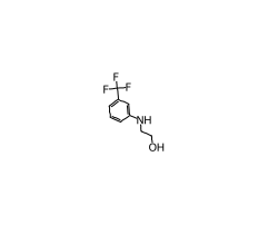 OCCNc1cccc(C(F)(F)F)c1